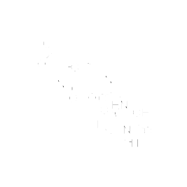 CC[C@H](C)[C@@H]([C@@H](CC(=O)N1CCCC1[C@H](OC)[C@@H](C)C(=O)OC)OC)N(C)C(=O)C(NC(=O)[C@@H]1[C@H]2CC[C@H](C2)N1C(=O)O)C(C)C